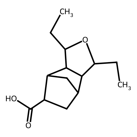 CCC1OC(CC)C2C3CC(CC3C(=O)O)C12